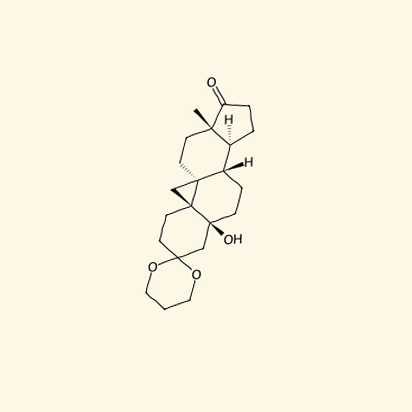 C[C@]12CC[C@@]34C[C@@]35CCC3(C[C@@]5(O)CC[C@H]4[C@@H]1CCC2=O)OCCCO3